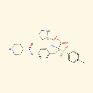 Cc1ccc(S(=O)(=O)[C@@](Cc2ccc(NC(=O)C3CCNCC3)cc2)(NC(=O)[C@@H]2CCCN2)C(=O)O)cc1